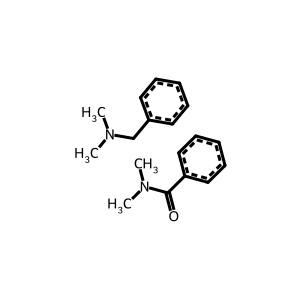 CN(C)C(=O)c1ccccc1.CN(C)Cc1ccccc1